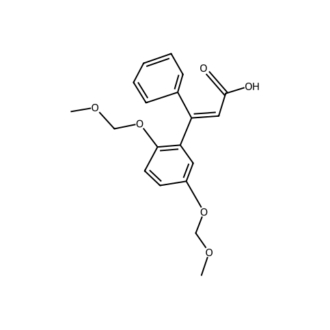 COCOc1ccc(OCOC)c(C(=CC(=O)O)c2ccccc2)c1